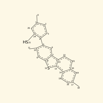 Cc1ccc(-c2cc3c(cc2C)sc2c4ccc(C)cc4ccc32)c(S)c1